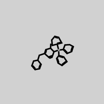 CC1C=C(CC2C=CC=CC2)C#CC1[Si](C1=CC=CCC1)(C1=CC=CCC1)c1ccccc1